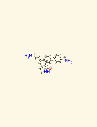 NCCCc1cc2cc[nH]c(=O)c2c2cc(-c3ccc(CN)cc3)ccc12